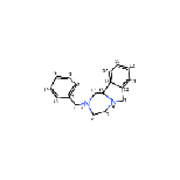 c1ccc(CN2CCN3Cc4ccccc4C3C2)cc1